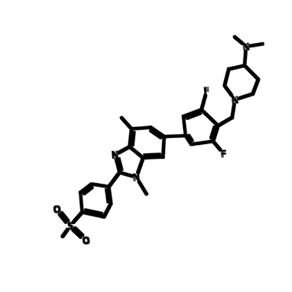 Cc1cc(-c2cc(F)c(CN3CCC(N(C)C)CC3)c(F)c2)cc2c1nc(-c1ccc(S(C)(=O)=O)cc1)n2C